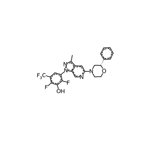 Cc1nn(-c2cc(C(F)(F)F)c(F)c(O)c2F)c2cnc(N3CCO[C@@H](c4ccccc4)C3)cc12